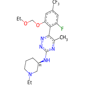 CCOCOc1cc(C(F)(F)F)cc(F)c1-c1nnc(N[C@@H]2CCCN(CC)C2)nc1C